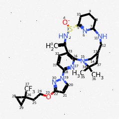 C=C1N[S+]([O-])C2=NC(CCC2)NCC2CN(c3nc(-n4ccc(OCCC5(C(F)(F)F)CC5)n4)ccc31)C(C)(C)C2